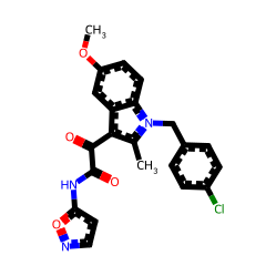 COc1ccc2c(c1)c(C(=O)C(=O)Nc1ccno1)c(C)n2Cc1ccc(Cl)cc1